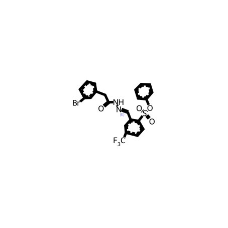 O=C(Cc1cccc(Br)c1)N/N=C/c1cc(C(F)(F)F)ccc1S(=O)(=O)Oc1ccccc1